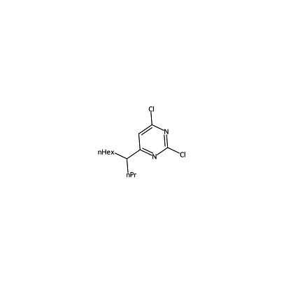 CCCCCCC(CCC)c1cc(Cl)nc(Cl)n1